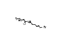 CC(C)CCCCCCCNC(=O)CNCC(C)C